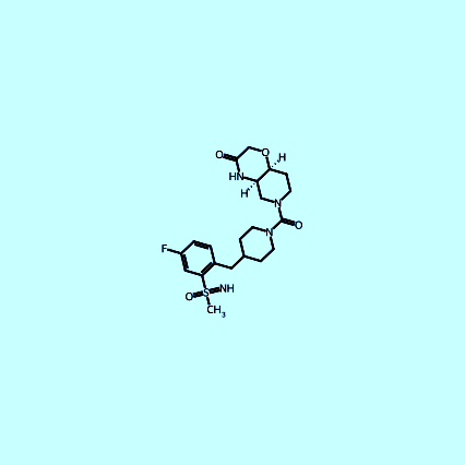 CS(=N)(=O)c1cc(F)ccc1CC1CCN(C(=O)N2CC[C@@H]3OCC(=O)N[C@@H]3C2)CC1